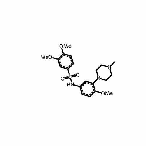 COc1ccc(S(=O)(=O)Nc2ccc(OC)c(N3CCN(C)CC3)c2)cc1OC